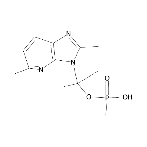 Cc1ccc2nc(C)n(C(C)(C)OP(C)(=O)O)c2n1